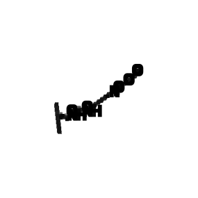 CCCCCCCCC(CCCCCC)C(C)(C)CCC(C)(C)CCNC(=O)CCC(C)(C)CCC(C)(C)NC(=O)CCCCCCCCCCCCCCN(CCOCCCCCOCCCCCC(C)=O)C(C)C